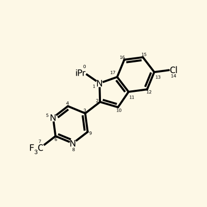 CC(C)n1c(-c2cnc(C(F)(F)F)nc2)cc2cc(Cl)ccc21